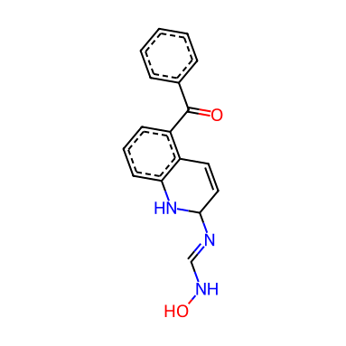 O=C(c1ccccc1)c1cccc2c1C=CC(N=CNO)N2